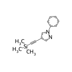 C[Si](C)(C)C#Cc1cnn(-c2ccccc2)c1